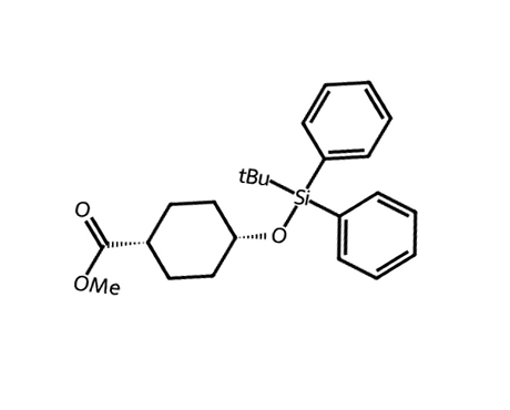 COC(=O)[C@H]1CC[C@@H](O[Si](c2ccccc2)(c2ccccc2)C(C)(C)C)CC1